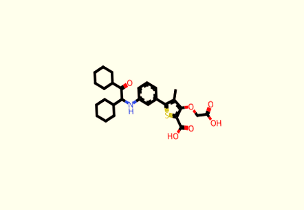 Cc1c(-c2cccc(NC(C(=O)C3CCCCC3)C3CCCCC3)c2)sc(C(=O)O)c1OCC(=O)O